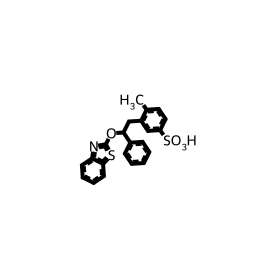 Cc1ccc(S(=O)(=O)O)cc1CC(Oc1nc2ccccc2s1)c1ccccc1